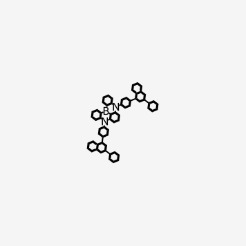 c1ccc(-c2cc(-c3ccc(N4c5ccccc5B5c6ccccc6N(c6ccc(-c7cc(-c8ccccc8)cc8ccccc78)cc6)c6cccc4c65)cc3)c3ccccc3c2)cc1